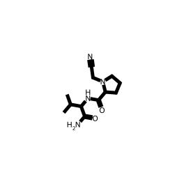 CC(C)C(NC(=O)C1CCCN1CC#N)C(N)=O